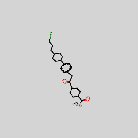 CCCCC(=O)C1CCC(C(=O)Cc2ccc(C3CCC(CCCF)CC3)cc2)CC1